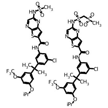 CC(C)Oc1cc(OC(F)(F)F)cc(C(C)(C)c2cc(Cl)cc(NC(=O)c3cc4nc(NS(=O)(=O)CS(C)(=O)=O)cnc4s3)c2)c1.CC(C)Oc1cc(OC(F)(F)F)cc(C(C)(C)c2cc(Cl)cc(NC(=O)c3cc4nc(NS(C)(=O)=O)cnc4s3)c2)c1